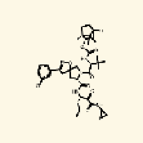 CCC[C@H](NC(=O)[C@@H]1C[C@]2(CC(c3cccc(Cl)c3)=NO2)CN1C(=O)[C@@H](NC(=O)O[C@H]1C[C@H]2CC[C@]1(C)C2(C)C)C(C)(C)C)C(=O)C(=O)NC1CC1